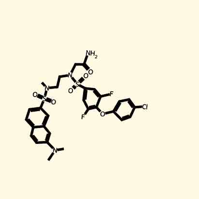 CN(C)c1ccc2ccc(S(=O)(=O)N(C)CCN(CC(N)=O)S(=O)(=O)c3cc(F)c(Oc4ccc(Cl)cc4)c(F)c3)cc2c1